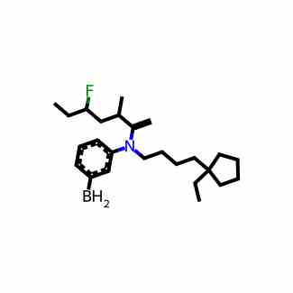 Bc1cccc(N(CCCCC2(CC)CCCC2)C(=C)C(C)CC(F)CC)c1